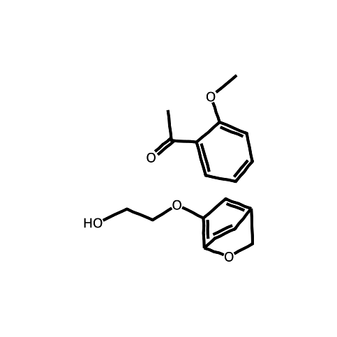 COc1ccccc1C(C)=O.OCCOc1cc2ccc1OC2